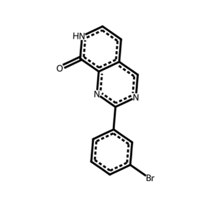 O=c1[nH]ccc2cnc(-c3cccc(Br)c3)nc12